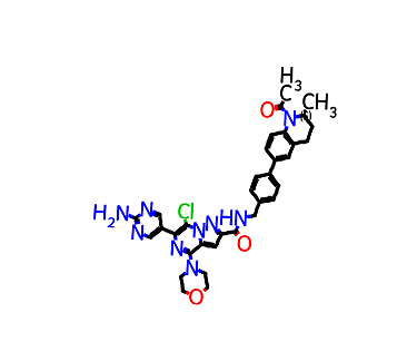 CC(=O)N1c2ccc(-c3ccc(CNC(=O)c4cc5c(N6CCOCC6)nc(-c6cnc(N)nc6)c(Cl)n5n4)cc3)cc2CC[C@@H]1C